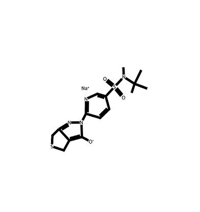 CN(C(C)(C)C)S(=O)(=O)c1ccc(-n2nc3c(c2[O-])CSC3)nc1.[Na+]